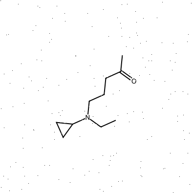 CCN(CCCC(C)=O)C1CC1